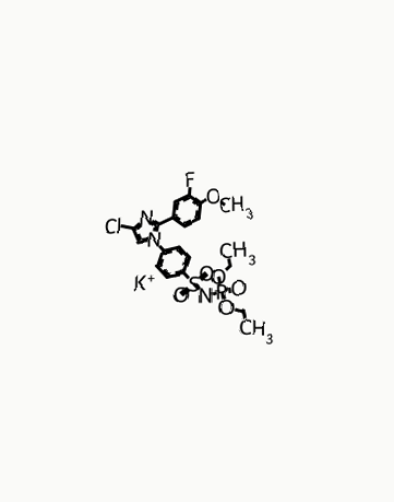 CCOP(=O)([N-]S(=O)(=O)c1ccc(-n2cc(Cl)nc2-c2ccc(OC)c(F)c2)cc1)OCC.[K+]